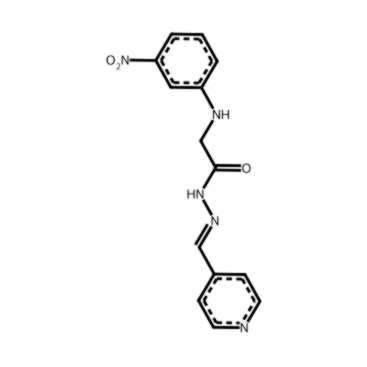 O=C(CNc1cccc([N+](=O)[O-])c1)N/N=C/c1ccncc1